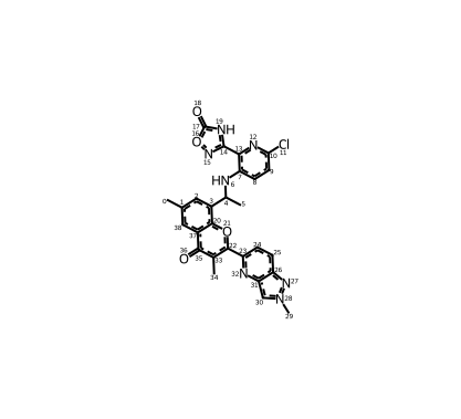 Cc1cc(C(C)Nc2ccc(Cl)nc2-c2noc(=O)[nH]2)c2oc(-c3ccc4nn(C)cc4n3)c(C)c(=O)c2c1